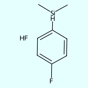 C[SiH](C)c1ccc(F)cc1.F